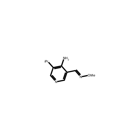 CON=Cc1cncc(C(C)C)c1N